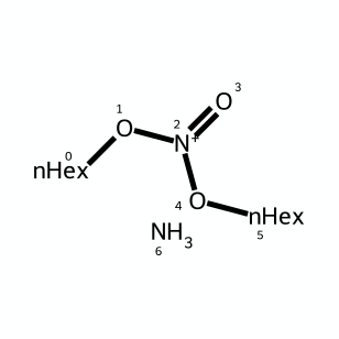 CCCCCCO[N+](=O)OCCCCCC.N